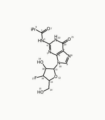 CC(C)C(=O)Nc1nc2c(ncn2C2OC(CO)C(F)C2O)c(=O)[nH]1